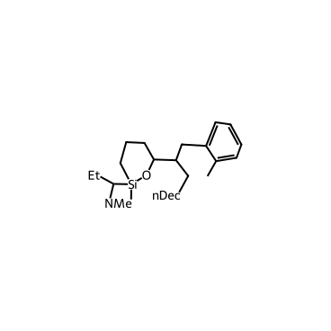 CCCCCCCCCCCC(Cc1ccccc1C)C1CCC[Si](C)(C(CC)NC)O1